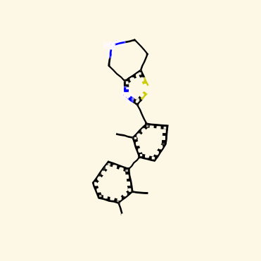 [2H]c1cccc(-c2cccc(-c3nc4c(s3)CCNC4)c2C)c1C